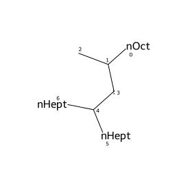 CCCCCCCCC(C)[CH]C(CCCCCCC)CCCCCCC